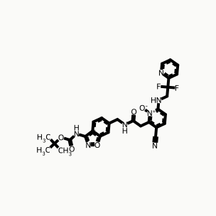 CC(C)(C)OC(=O)Nc1noc2cc(CNC(=O)Cc3c(C#N)ccc(NCC(F)(F)c4ccccn4)[n+]3[O-])ccc12